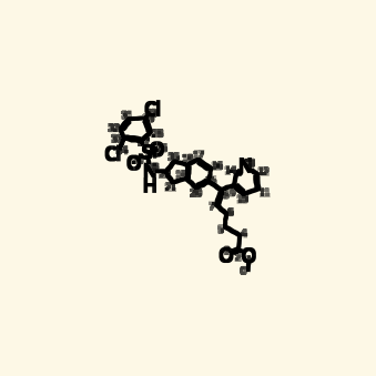 COC(=O)CCCC=C(c1cccnc1)c1ccc2c(c1)CC(NS(=O)(=O)c1cc(Cl)ccc1Cl)C2